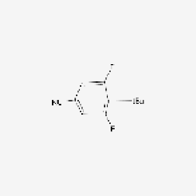 CC(C)(C)c1c(F)cc(C#N)cc1F